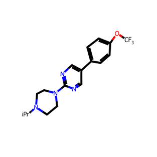 CC(C)N1CCN(c2ncc(-c3ccc(OC(F)(F)F)cc3)cn2)CC1